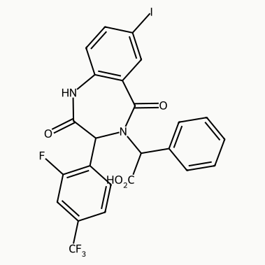 O=C(O)C(c1ccccc1)N1C(=O)c2cc(I)ccc2NC(=O)C1c1ccc(C(F)(F)F)cc1F